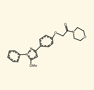 COc1cc(-c2ccc(OCC(=O)N3CCOCC3)cc2)nn1-c1ccccc1